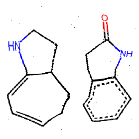 C1=CCCC2CCNC2=C1.O=C1Cc2ccccc2N1